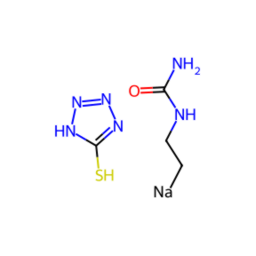 NC(=O)NC[CH2][Na].Sc1nnn[nH]1